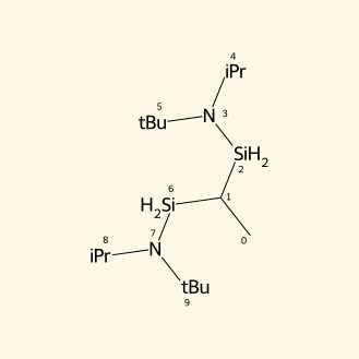 CC([SiH2]N(C(C)C)C(C)(C)C)[SiH2]N(C(C)C)C(C)(C)C